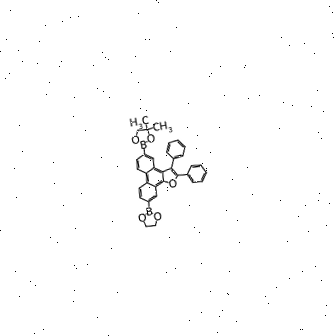 CC1(C)COB(c2ccc3c4ccc(B5OCCO5)cc4c4oc(-c5ccccc5)c(-c5ccccc5)c4c3c2)O1